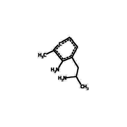 Cc1cccc(CC(C)N)c1N